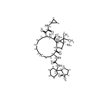 CC1(C)[C@@H]2[C@H]3C(=O)N[C@H](C(=O)C(=O)NC4CC4)CCCCCCCC[C@H](NC(=O)NC4(C5OCCS5(=O)=O)CCCCC4)C(=O)N3C[C@@H]21